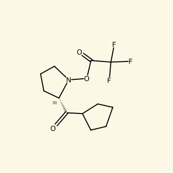 O=C(C1CCCC1)[C@@H]1CCCN1OC(=O)C(F)(F)F